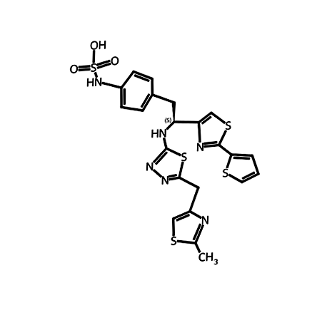 Cc1nc(Cc2nnc(N[C@@H](Cc3ccc(NS(=O)(=O)O)cc3)c3csc(-c4cccs4)n3)s2)cs1